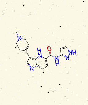 CN1CC=C(c2cnc3ccc(C(=O)Nc4cc[nH]n4)[nH]c2-3)CC1